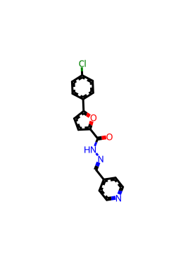 O=C(NN=Cc1ccncc1)c1ccc(-c2ccc(Cl)cc2)o1